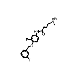 CCCCN(C)C/C=C/C(=O)Nc1ccc(OCc2cccc(F)c2)c(F)c1